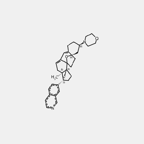 C[C@]12CC=C3C=C4CC[C@@H](N5CCOCC5)C[C@]45CCC3(O5)[C@@H]1CC[C@@H]2c1ccc2ccncc2c1